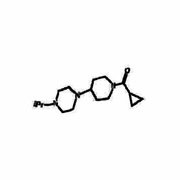 CC(C)N1CCN(C2CCN(C(=O)C3CC3)CC2)CC1